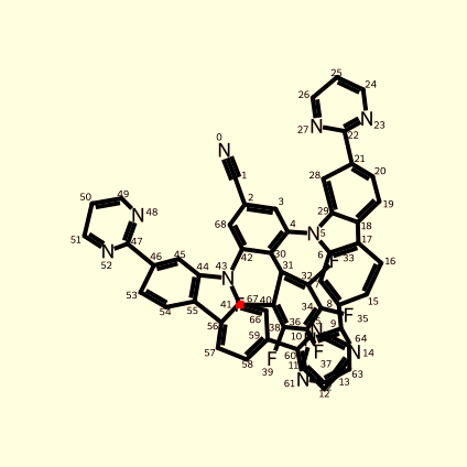 N#Cc1cc(-n2c3cc(-c4ncccn4)ccc3c3ccc(-c4ncccn4)cc32)c(-c2c(F)c(F)c(F)c(F)c2F)c(-n2c3cc(-c4ncccn4)ccc3c3ccc(-c4ncccn4)cc32)c1